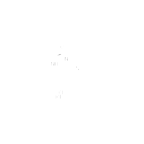 Cl.Cl.O=C([C@@H]1CCCCN1)N1CCN(C(c2ccccc2)c2ccccc2)CC1